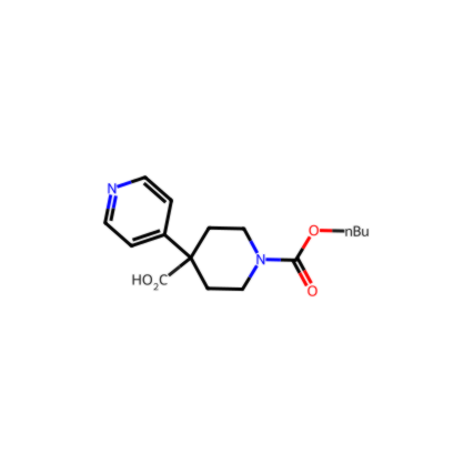 CCCCOC(=O)N1CCC(C(=O)O)(c2ccncc2)CC1